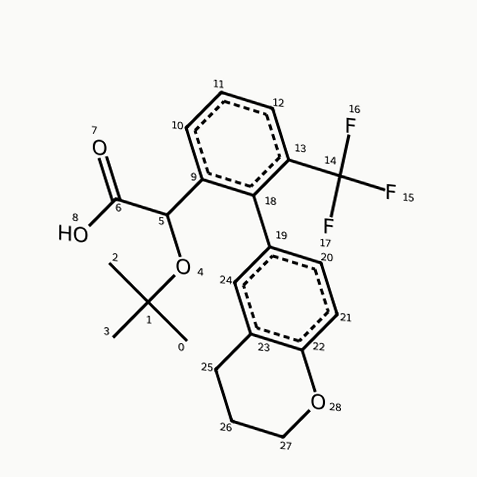 CC(C)(C)OC(C(=O)O)c1cccc(C(F)(F)F)c1-c1ccc2c(c1)CCCO2